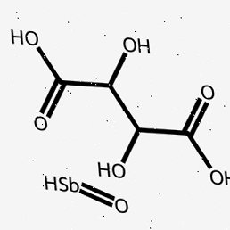 O=C(O)C(O)C(O)C(=O)O.[O]=[SbH]